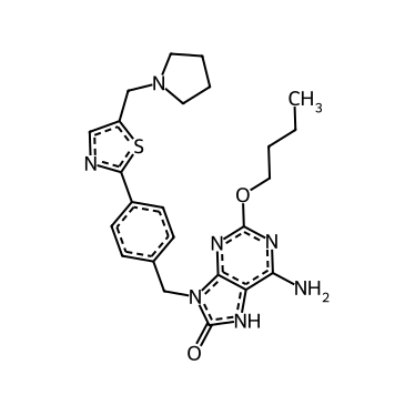 CCCCOc1nc(N)c2[nH]c(=O)n(Cc3ccc(-c4ncc(CN5CCCC5)s4)cc3)c2n1